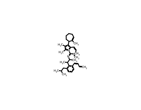 C=C/C=C\c1cccc(CC(C)C)c1C(C)C(C)/N=C(\N=C)n1c(C)c(C)c(C2CCCCC=C2C)c1/C=C\C